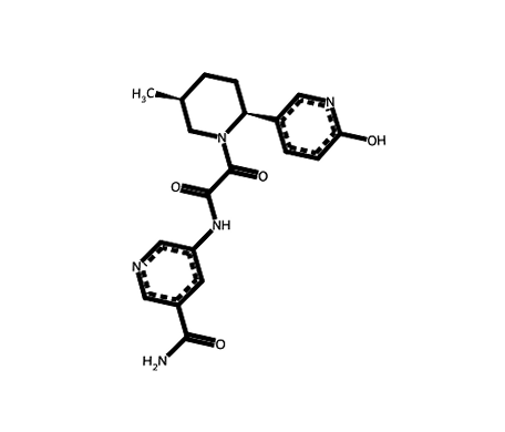 C[C@H]1CC[C@@H](c2ccc(O)nc2)N(C(=O)C(=O)Nc2cncc(C(N)=O)c2)C1